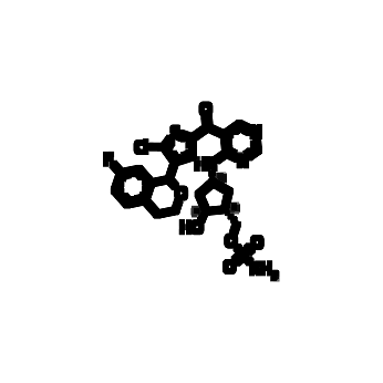 NS(=O)(=O)OC[C@H]1C[C@@H](Nc2ncncc2C(=O)c2cc(C3OCCc4ccc(F)cc43)c(Cl)s2)C[C@@H]1O